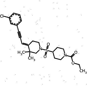 CCOC(=O)N1CCC(S(=O)(=O)N2CC/C(=C\C#Cc3cccc(Cl)c3)C(C)(C)C2)CC1